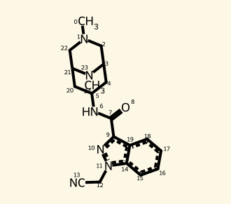 CN1CC2CC(NC(=O)c3nn(CC#N)c4ccccc34)CC(C1)N2C